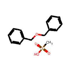 CS(=O)(=O)O.c1ccc(COCc2ccccc2)cc1